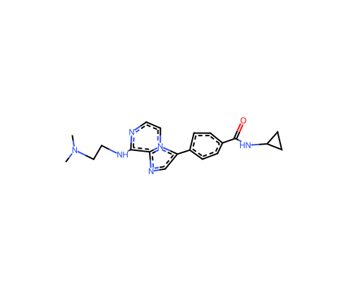 CN(C)CCNc1nccn2c(-c3ccc(C(=O)NC4CC4)cc3)cnc12